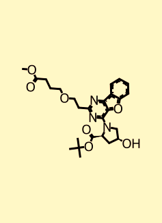 COC(=O)CCCOCCc1nc(N2C[C@@H](O)C[C@H]2C(=O)OC(C)(C)C)c2oc3ccccc3c2n1